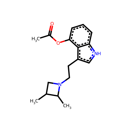 CC(=O)Oc1cccc2[nH]cc(CCN3CC(C)C3C)c12